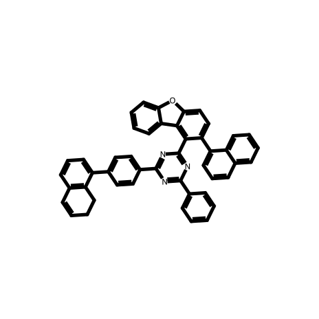 C1=Cc2cccc(-c3ccc(-c4nc(-c5ccccc5)nc(-c5c(-c6cccc7ccccc67)ccc6oc7ccccc7c56)n4)cc3)c2CC1